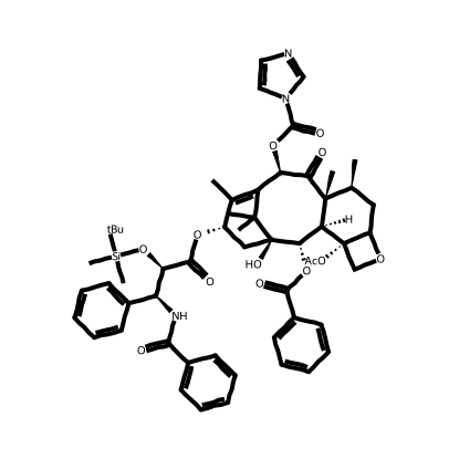 CC(=O)O[C@@]12COC1C[C@H](C)[C@@]1(C)C(=O)[C@H](OC(=O)n3ccnc3)C3=C(C)[C@@H](OC(=O)[C@H](O[Si](C)(C)C(C)(C)C)[C@@H](NC(=O)c4ccccc4)c4ccccc4)C[C@@](O)([C@@H](OC(=O)c4ccccc4)[C@@H]12)C3(C)C